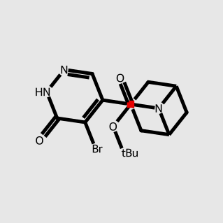 CC(C)(C)OC(=O)N1C2CC1CN(c1cn[nH]c(=O)c1Br)C2